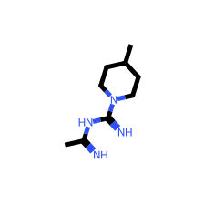 CC(=N)NC(=N)N1CCC(C)CC1